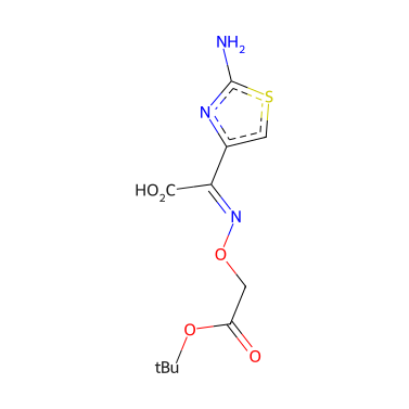 CC(C)(C)OC(=O)CON=C(C(=O)O)c1csc(N)n1